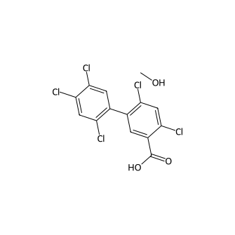 CO.O=C(O)c1cc(-c2cc(Cl)c(Cl)cc2Cl)c(Cl)cc1Cl